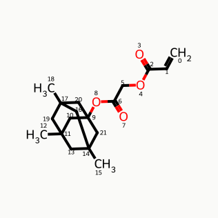 C=CC(=O)OCC(=O)OC12CC3(C)CC(C)(CC(C)(C3)C1)C2